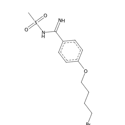 CS(=O)(=O)NC(=N)c1ccc(OCCCCBr)cc1